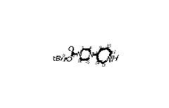 CC(C)(C)OC(=O)N1CCN(C2CCCNCC2)CC1